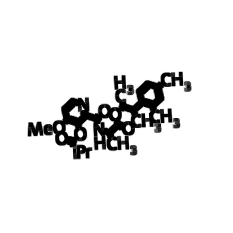 COc1ccnc(C(=O)NC(C)C(=O)OC(C)C(C)c2ccc(C)cc2C)c1OC(=O)C(C)C